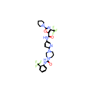 O=C(Nc1ccc(N2CCCN(C(=O)Nc3ccccc3C(F)(F)F)CC2)nc1)c1oc(N2CCCCC2)nc1C(F)(F)F